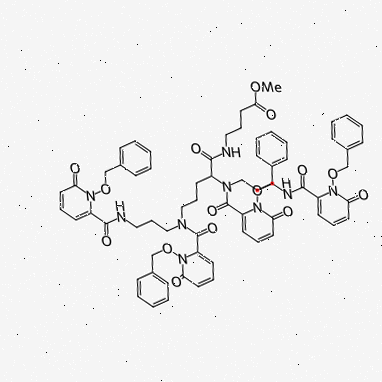 COC(=O)CCCNC(=O)C(CCCN(CCCNC(=O)c1cccc(=O)n1OCc1ccccc1)C(=O)c1cccc(=O)n1OCc1ccccc1)N(CCCNC(=O)c1cccc(=O)n1OCc1ccccc1)C(=O)c1cccc(=O)n1OCc1ccccc1